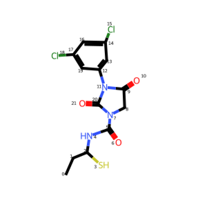 CCC(S)NC(=O)N1CC(=O)N(c2cc(Cl)cc(Cl)c2)C1=O